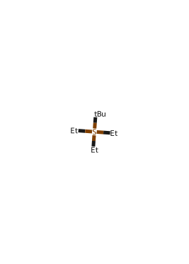 CCS(CC)(CC)C(C)(C)C